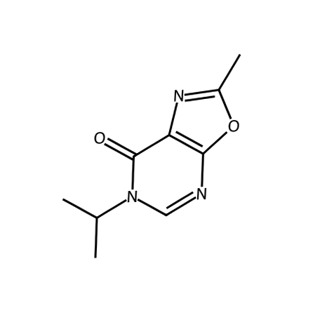 Cc1nc2c(=O)n(C(C)C)cnc2o1